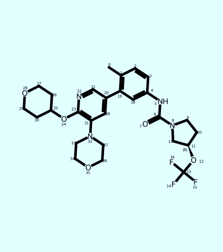 Cc1ccc(NC(=O)N2CC[C@@H](OC(F)(F)F)C2)cc1-c1cnc(OC2CCOCC2)c(N2CCOCC2)c1